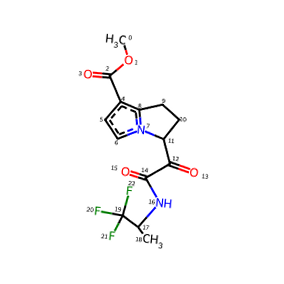 COC(=O)c1ccn2c1CCC2C(=O)C(=O)NC(C)C(F)(F)F